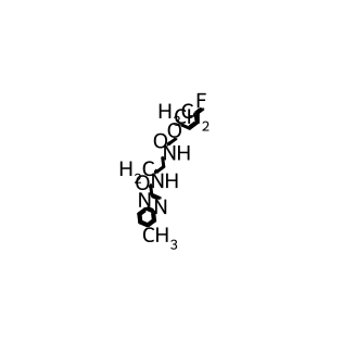 C=C(CCNC(=O)COC(=C)/C=C\C(C)=C\F)NC(=O)c1cnc2cc(C)ccc2n1